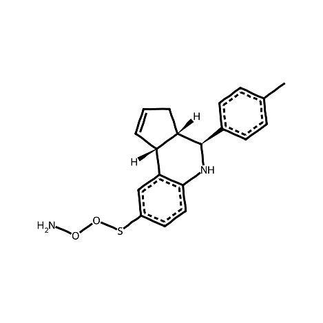 Cc1ccc([C@H]2Nc3ccc(SOON)cc3[C@@H]3C=CC[C@H]23)cc1